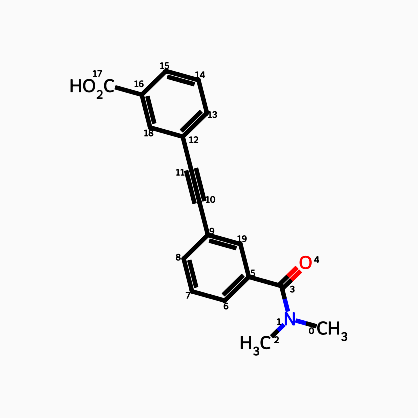 CN(C)C(=O)c1cccc(C#Cc2cccc(C(=O)O)c2)c1